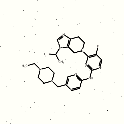 CCN1CCN(Cc2ccc(Nc3ncc(F)c(N4CCc5ncn(C(C)C)c5C4)n3)nc2)CC1